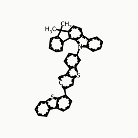 CC1(C)c2ccccc2-c2c1ccc1c3ccccc3n(-c3ccc4c(c3)sc3cc(-c5cccc6c5sc5ccccc56)ccc34)c21